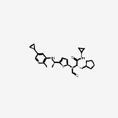 Cc1ncc(C2CC2)cc1N[C@H](C)c1ccc(N(C=O)[C@@H](CC2CCCC2)C(=O)NC2CC2)s1